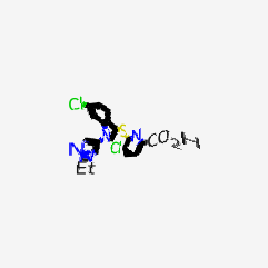 CCn1cc(-n2c(Cl)c(Sc3cccc(C(=O)O)n3)c3ccc(Cl)cc32)cn1